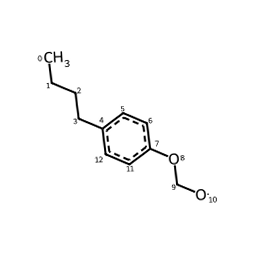 CCCCc1ccc(OC[O])cc1